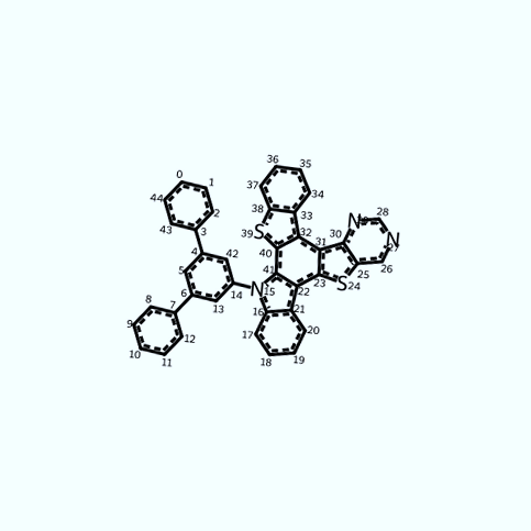 c1ccc(-c2cc(-c3ccccc3)cc(-n3c4ccccc4c4c5sc6cncnc6c5c5c6ccccc6sc5c43)c2)cc1